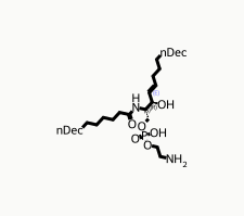 CCCCCCCCCCCCC/C=C/[C@@H](O)[C@H](COP(=O)(O)OCCN)NC(=O)CCCCCCCCCCCCCCC